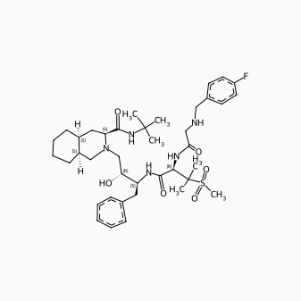 CC(C)(C)NC(=O)[C@@H]1C[C@@H]2CCCC[C@@H]2CN1C[C@@H](O)[C@H](Cc1ccccc1)NC(=O)[C@@H](NC(=O)CNCc1ccc(F)cc1)C(C)(C)S(C)(=O)=O